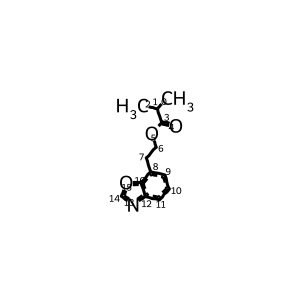 CC(C)C(=O)OCCc1cccc2ncoc12